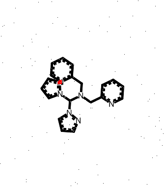 c1ccc(CN(Cc2ccccn2)C(n2cccn2)n2cccn2)nc1